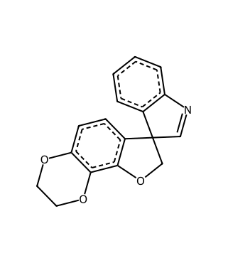 C1=Nc2ccccc2C12COc1c2ccc2c1OCCO2